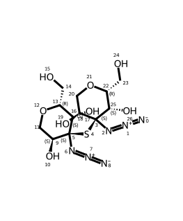 [N-]=[N+]=N[C@]1(S[C@@]2(N=[N+]=[N-])[C@@H](O)CO[C@H](CO)[C@@H]2O)[C@@H](O)CO[C@H](CO)[C@@H]1O